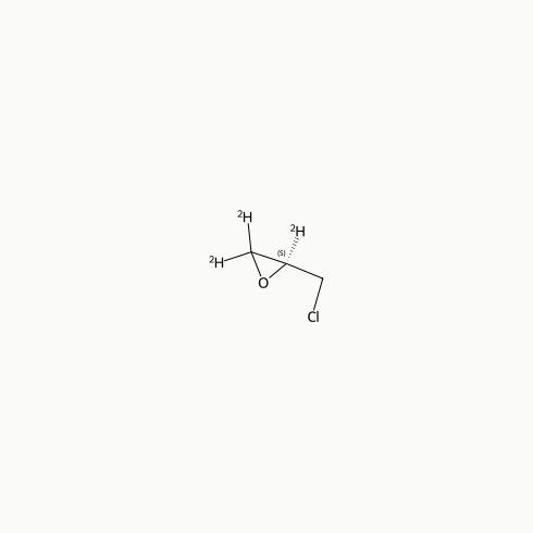 [2H]C1([2H])O[C@]1([2H])CCl